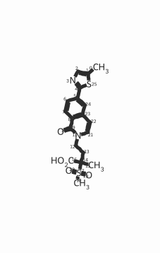 Cc1cnc(-c2ccc3c(=O)n(CCC(C)(C(=O)O)S(C)(=O)=O)ccc3c2)s1